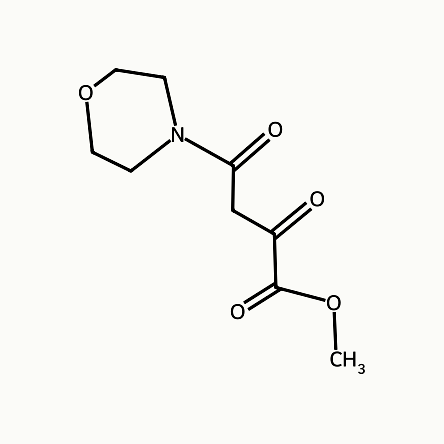 COC(=O)C(=O)CC(=O)N1CCOCC1